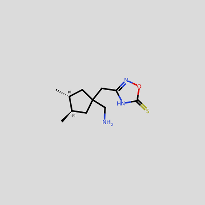 C[C@@H]1CC(CN)(Cc2noc(=S)[nH]2)C[C@H]1C